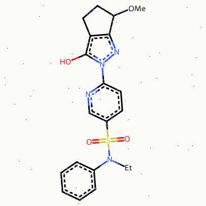 CCN(c1ccccc1)S(=O)(=O)c1ccc(-n2nc3c(c2O)CCC3OC)nc1